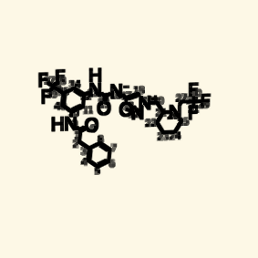 O=C(Cc1ccccc1)Nc1cc(NC(=O)[N-]c2c[n+](CC3CCCCN3CC(F)(F)F)no2)cc(C(F)(F)F)c1